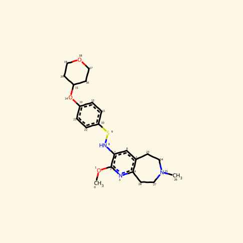 COc1nc2c(cc1NSc1ccc(OC3CCOCC3)cc1)CCN(C)CC2